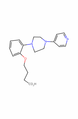 O=C(O)CCCOc1ccccc1N1CCN(c2ccncc2)CC1